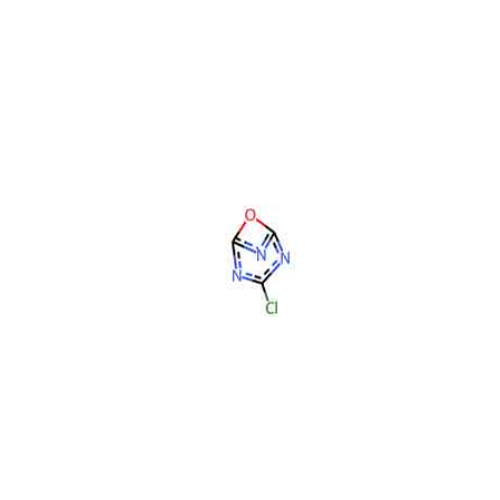 Clc1nc2nc(n1)O2